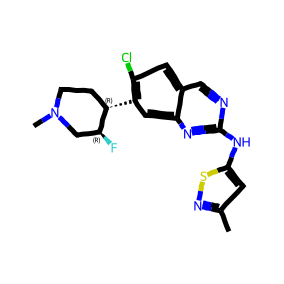 Cc1cc(Nc2ncc3cc(Cl)c([C@H]4CCN(C)C[C@@H]4F)cc3n2)sn1